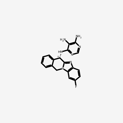 Nc1ncnc(N[C@H]2c3ccccc3Cn3c2nc2ccc(F)cc23)c1N